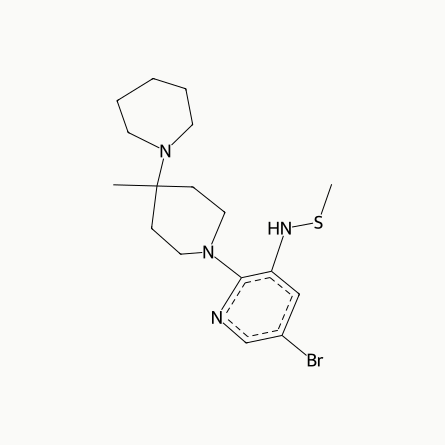 CSNc1cc(Br)cnc1N1CCC(C)(N2CCCCC2)CC1